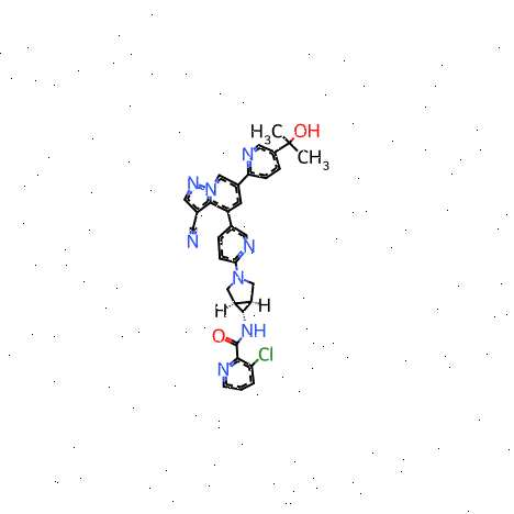 CC(C)(O)c1ccc(-c2cc(-c3ccc(N4C[C@@H]5[C@H](C4)[C@H]5NC(=O)c4ncccc4Cl)nc3)c3c(C#N)cnn3c2)nc1